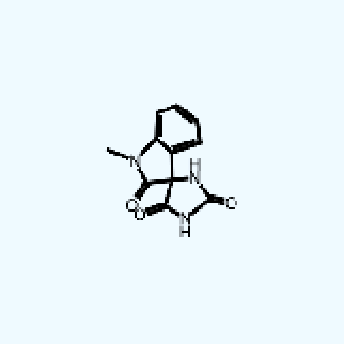 CN1C(=O)C2(NC(=O)NC2=O)c2ccccc21